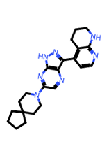 c1cc(-c2n[nH]c3nc(N4CCC5(CCCC5)CC4)cnc23)c2c(n1)NCCC2